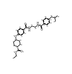 CCOC(=O)[C@H]1CC[C@@H](Oc2ccc(C(=O)NCCNC(=O)c3ccc(CC(C)C)cc3)cc2)CC1